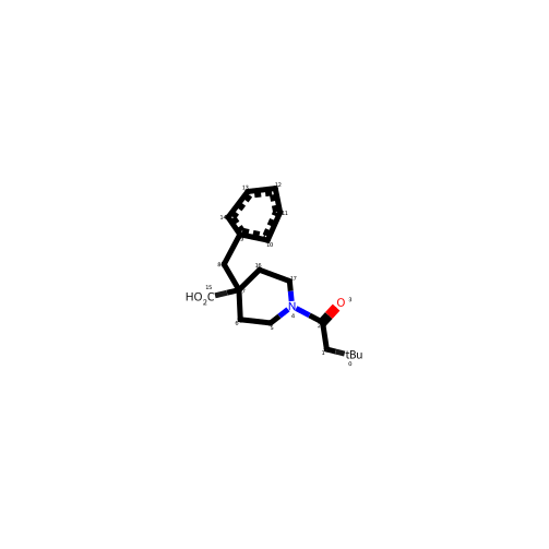 CC(C)(C)CC(=O)N1CCC(Cc2ccccc2)(C(=O)O)CC1